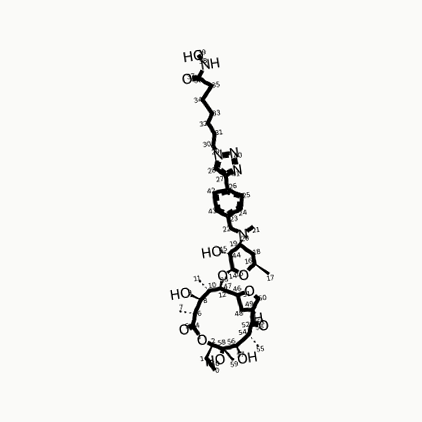 CC[C@H]1OC(=O)[C@H](C)[C@@H](O)[C@H](C)[C@@H](O[C@@H]2O[C@H](C)C[C@H](N(C)Cc3ccc(-c4cn(CCCCCCC(=O)NO)nn4)cc3)[C@H]2O)[C@@]2(C)C[C@@H](CO2)C(=O)[C@H](C)[C@@H](O)[C@]1(C)O